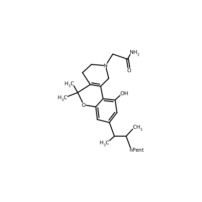 CCCCCC(C)C(C)c1cc(O)c2c(c1)OC(C)(C)C1=C2CN(CC(N)=O)CC1